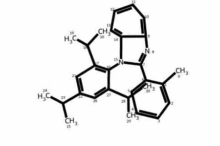 Cc1ccccc1-c1nc2ccccc2n1-c1c(C(C)C)cc(C(C)C)cc1C(C)C